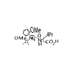 COc1cccc(OC)c1-c1cc(C(=O)N[C@@H](CCC(C)C)CC(=O)O)nn1C1CC(C)C1C